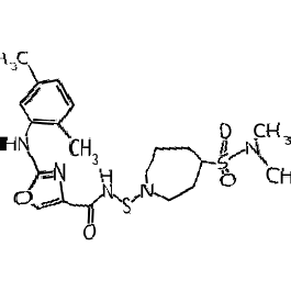 Cc1ccc(C)c(Nc2nc(C(=O)NSN3CCCC(S(=O)(=O)N(C)C)CC3)co2)c1